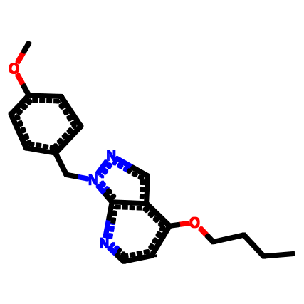 CCCCOc1[c]cnc2c1cnn2Cc1ccc(OC)cc1